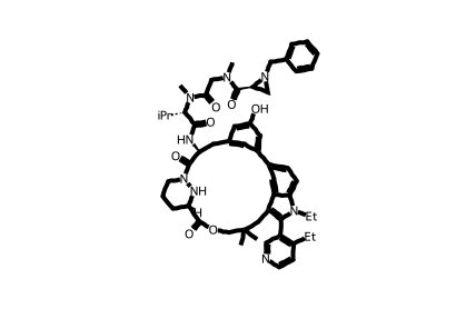 CCc1ccncc1-c1c2c3cc(ccc3n1CC)-c1cc(O)cc(c1)C[C@H](NC(=O)[C@H](C(C)C)N(C)C(=O)CN(C)C(=O)[C@@H]1CN1Cc1ccccc1)C(=O)N1CCC[C@H](N1)C(=O)OCC(C)(C)C2